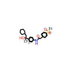 CCS(=O)(=O)c1ccc(CC(=O)Nc2ccc(C(O)(CC3CCCCC3)C(F)(F)F)cc2)cc1